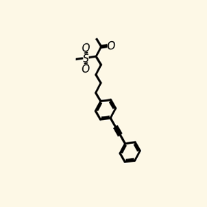 CC(=O)C(CCCCc1ccc(C#Cc2ccccc2)cc1)S(C)(=O)=O